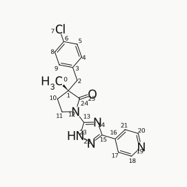 C[C@]1(Cc2ccc(Cl)cc2)CCN(c2nc(-c3ccncc3)n[nH]2)C1=O